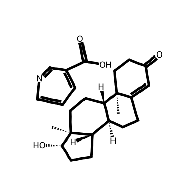 C[C@]12CC[C@H]3[C@@H](CCC4=CC(=O)CC[C@@]43C)[C@@H]1CC[C@@H]2O.O=C(O)c1cccnc1